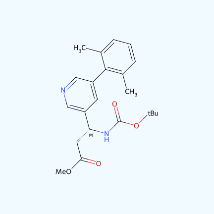 COC(=O)C[C@@H](NC(=O)OC(C)(C)C)c1cncc(-c2c(C)cccc2C)c1